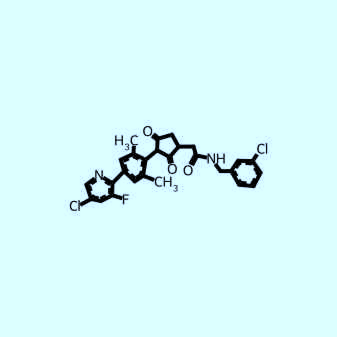 Cc1cc(-c2ncc(Cl)cc2F)cc(C)c1C1C(=O)CC(CC(=O)NCc2cccc(Cl)c2)C1=O